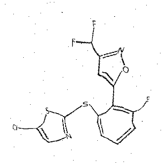 Fc1cccc(Sc2ncc(Cl)s2)c1-c1cc(C(F)F)no1